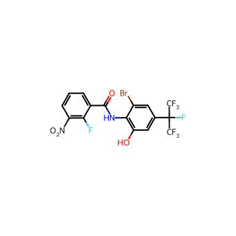 O=C(Nc1c(O)cc(C(F)(C(F)(F)F)C(F)(F)F)cc1Br)c1cccc([N+](=O)[O-])c1F